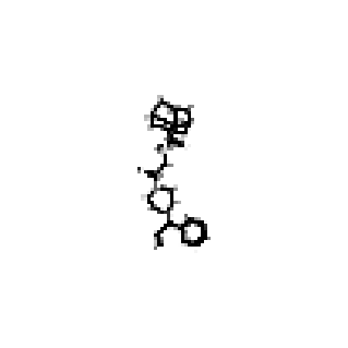 C=CC(c1ccccc1)N1CCN(C(=O)CNC(=O)C23CC4CC(CC(C4)C2)C3)CC1